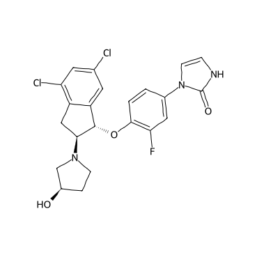 O=c1[nH]ccn1-c1ccc(O[C@H]2c3cc(Cl)cc(Cl)c3C[C@@H]2N2CC[C@@H](O)C2)c(F)c1